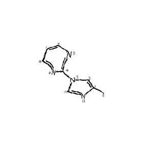 Cc1cn(-c2n[c]ccn2)cn1